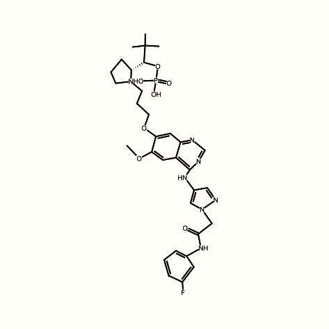 COc1cc2c(Nc3cnn(CC(=O)Nc4cccc(F)c4)c3)ncnc2cc1OCCCN1CCC[C@@H]1C(OP(=O)(O)O)C(C)(C)C